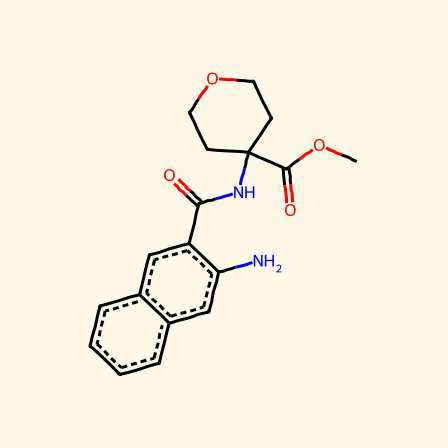 COC(=O)C1(NC(=O)c2cc3ccccc3cc2N)CCOCC1